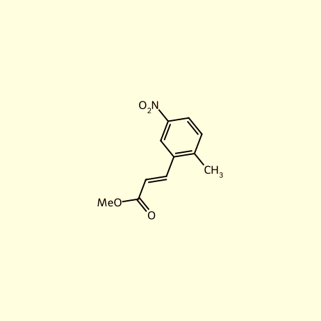 COC(=O)/C=C/c1cc([N+](=O)[O-])ccc1C